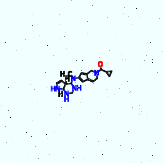 CN(C1=CC2=CCN(C(=O)C3CC3)CC2=C1)C1NCN[C@H]2NC=C[C@H]12